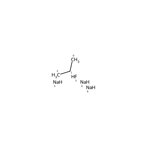 CCC.F.[NaH].[NaH].[NaH]